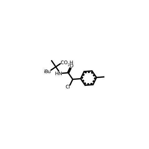 CCC(C)C(C)(NC(=O)C(Cl)c1ccc(C)cc1)C(=O)O